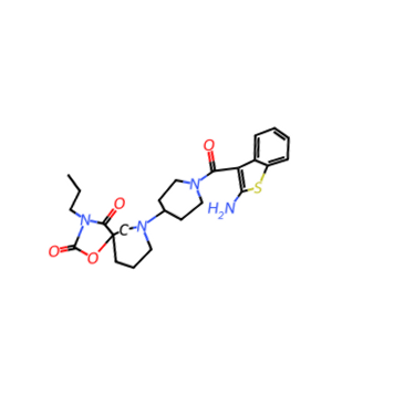 CCCN1C(=O)OC2(CCCN(C3CCN(C(=O)c4c(N)sc5ccccc45)CC3)C2)C1=O